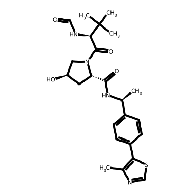 Cc1ncsc1-c1ccc([C@H](C)NC(=O)[C@@H]2C[C@@H](O)CN2C(=O)[C@@H](NC=O)C(C)(C)C)cc1